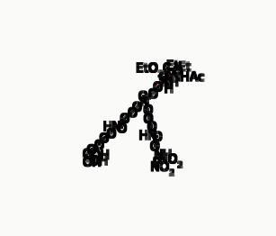 CCOC(=O)C1=C[C@@H](OC(CC)CC)[C@H](NC(C)=O)[C@@H](NC(=O)NCCOCCOCCC(=O)N(CCOCCOCCOCCNC(=O)CCOCCNc2ccc([N+](=O)[O-])cc2[N+](=O)[O-])CCOCCOCCOCCC(=O)NCCOCCOCCOCCO[C@@H]2O[C@@H](C)[C@H](O)[C@@H](O)[C@H]2O)C1